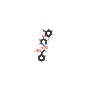 O=S(=O)(C[C@H](O)c1ccccc1)N1CCC(Oc2ccccc2Cl)CC1